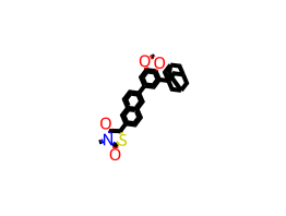 CN1C(=O)SC(c2ccc3cc(-c4cc5c(c(C67CC8CC(CC(C8)C6)C7)c4)OCO5)ccc3c2)C1=O